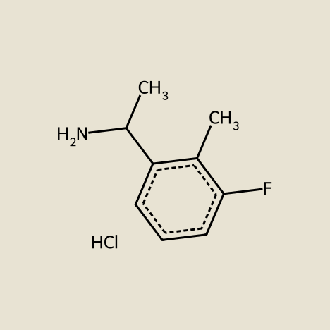 Cc1c(F)cccc1C(C)N.Cl